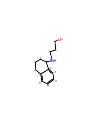 [O]CCCNC1CCCc2ccccc21